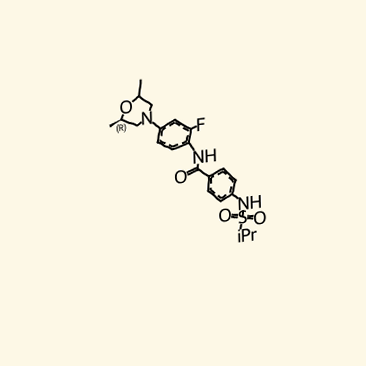 CC1CN(c2ccc(NC(=O)c3ccc(NS(=O)(=O)C(C)C)cc3)c(F)c2)C[C@@H](C)O1